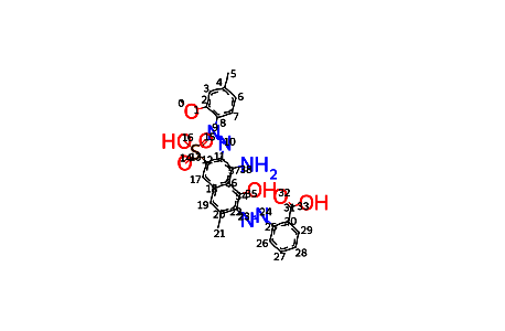 COc1cc(C)ccc1N=Nc1c(S(=O)(=O)O)cc2cc(C)c(N=Nc3ccccc3C(=O)O)c(O)c2c1N